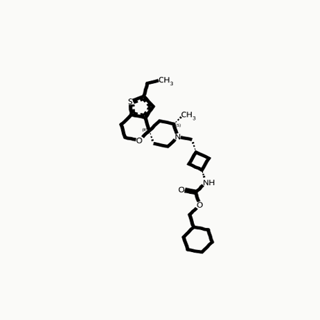 CCc1cc2c(s1)CCO[C@@]21CCN(C[C@H]2C[C@@H](NC(=O)OCC3CCCCC3)C2)[C@@H](C)C1